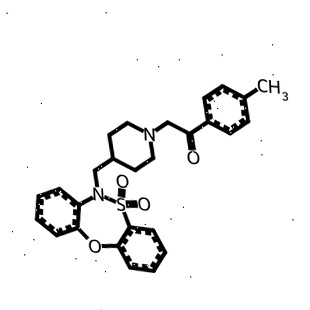 Cc1ccc(C(=O)CN2CCC(CN3c4ccccc4Oc4ccccc4S3(=O)=O)CC2)cc1